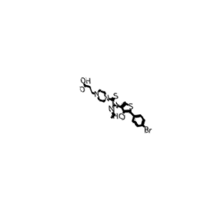 CC=NN(C(=S)N1CCN(CCC(=O)O)CC1)c1csc(-c2ccc(Br)cc2)c1O